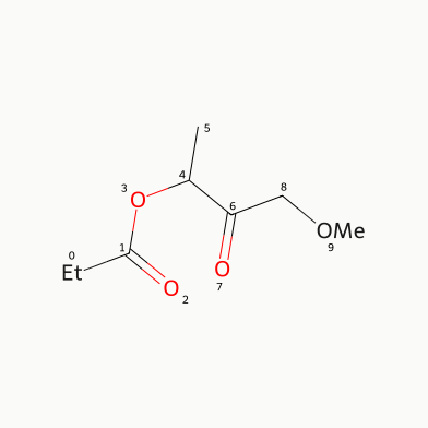 CCC(=O)OC(C)C(=O)COC